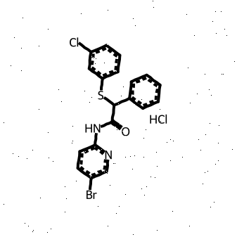 Cl.O=C(Nc1ccc(Br)cn1)C(Sc1cccc(Cl)c1)c1ccccc1